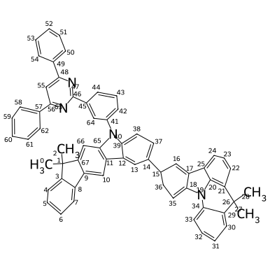 CC1(C)c2ccccc2-c2cc3c4cc(C5C=c6c(n7c8c(cccc68)C(C)(C)c6ccccc6-7)=CC5)ccc4n(-c4cccc(-c5nc(-c6ccccc6)cc(-c6ccccc6)n5)c4)c3cc21